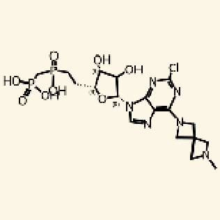 CN1CC2(C1)CN(c1nc(Cl)nc3c1ncn3[C@@H]1O[C@H](CCP(=O)(O)CP(=O)(O)O)[C@H](O)C1O)C2